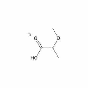 COC(C)C(=O)O.[Ti]